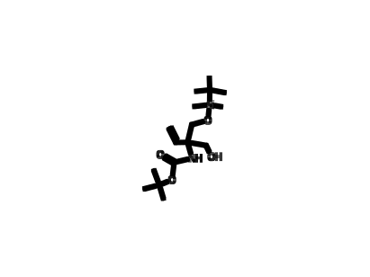 C=CC(CO)(CO[Si](C)(C)C(C)(C)C)NC(=O)OC(C)(C)C